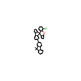 CC1(C)c2ccccc2-c2ccc(-c3ccc4c(c3)C3(c5ccccc5Oc5c(Cl)cccc53)c3ccccc3-4)cc21